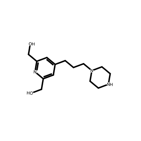 OCc1cc(CCCN2CCNCC2)cc(CO)n1